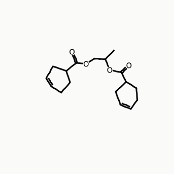 CC(COC(=O)C1CC=CCC1)OC(=O)C1CC=CCC1